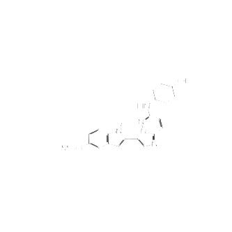 COc1ccc2c(c1)cc(-c1cnc3ccc(NC4CCC(O)CC4)nn13)n2C